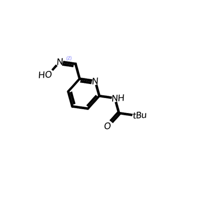 CC(C)(C)C(=O)Nc1cccc(/C=N\O)n1